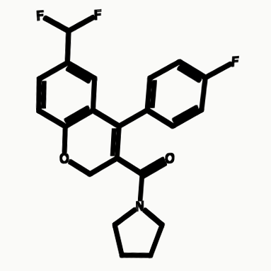 O=C(C1=C(c2ccc(F)cc2)c2cc(C(F)F)ccc2OC1)N1CCCC1